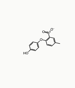 Cc1ccc(Oc2ccc(O)cc2)c([N+](=O)[O-])c1